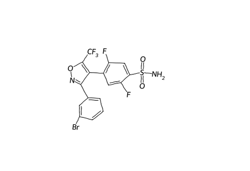 NS(=O)(=O)c1cc(F)c(-c2c(-c3cccc(Br)c3)noc2C(F)(F)F)cc1F